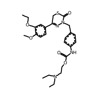 CCOc1cc(C2=NN(Cc3ccc(NC(=O)OCCN(CC)CC)cc3)C(=O)SC2)ccc1OC